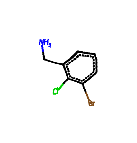 NCc1cccc(Br)c1Cl